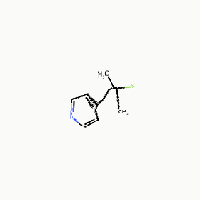 CC(C)(F)c1ccncc1